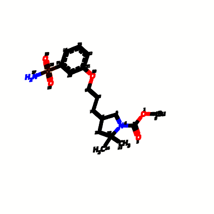 CC(C)(C)OC(=O)N1CC(CCCOc2cccc(S(N)(=O)=O)c2)CC1(C)C